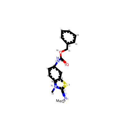 CO/N=c1/sc2cc(NC(=O)OCc3ccccc3)ccc2n1C